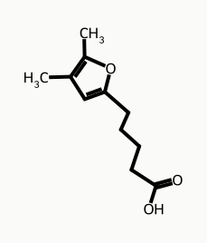 Cc1cc(CCCCC(=O)O)oc1C